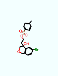 Cc1ccc(S(=O)(=O)OCCC2(O)COCc3ccc(Br)cc32)cc1